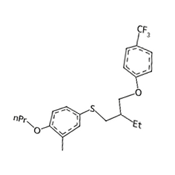 CCCOc1ccc(SCC(CC)COc2ccc(C(F)(F)F)cc2)cc1C